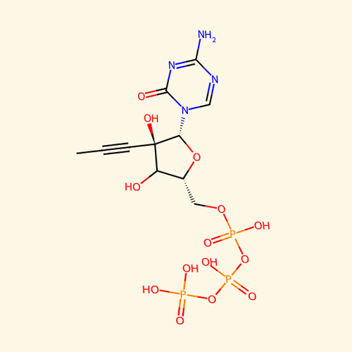 CC#C[C@@]1(O)C(O)[C@@H](COP(=O)(O)OP(=O)(O)OP(=O)(O)O)O[C@H]1n1cnc(N)nc1=O